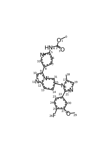 COC(=O)Nc1ccc(-c2cnc3ccc(-n4c(C)cnc4-c4ccc(F)c(OC)c4)cn23)cn1